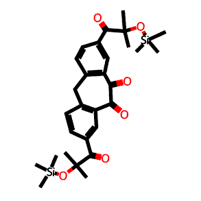 CC(C)(O[Si](C)(C)C)C(=O)c1ccc2c(c1)C(=O)C(=O)c1cc(C(=O)C(C)(C)O[Si](C)(C)C)ccc1C2